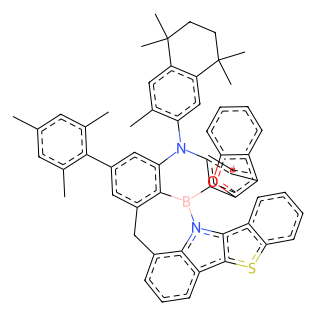 Cc1cc(C)c(-c2cc3c4c(c2)N(c2cc5c(cc2C)C(C)(C)CCC5(C)C)c2ccc5c(oc6ccccc65)c2B4n2c4c(cccc4c4sc5ccccc5c42)C3)c(C)c1